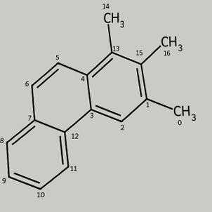 Cc1cc2c(ccc3ccccc32)c(C)c1C